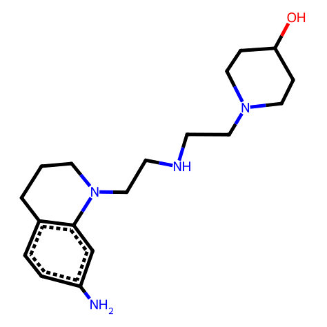 Nc1ccc2c(c1)N(CCNCCN1CCC(O)CC1)CCC2